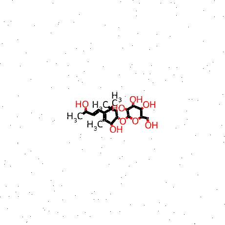 CC1=C(/C=C/C(C)O)C(C)(C)CC(OC2OC(CO)C(O)C(O)C2O)C1O